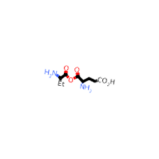 CCC(N)C(=O)OC(=O)[C@H](N)CCC(=O)O